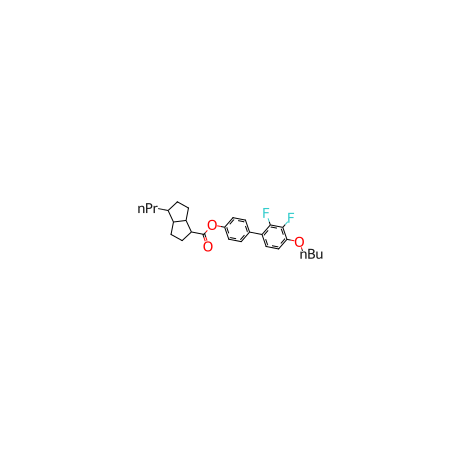 CCCCOc1ccc(-c2ccc(OC(=O)C3CCC4C(CCC)CCC34)cc2)c(F)c1F